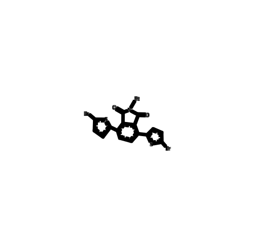 CCN1C(=O)c2c(-c3ccc(Br)s3)ccc(-c3ccc(Br)s3)c2C1=O